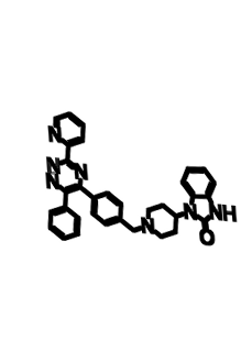 O=c1[nH]c2ccccc2n1C1CCN(Cc2ccc(-c3nc(-c4ccccn4)nnc3-c3ccccc3)cc2)CC1